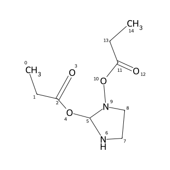 CCC(=O)OC1NCCN1OC(=O)CC